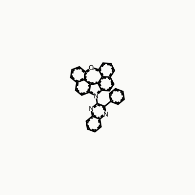 c1ccc(-c2nc3ccccc3nc2-n2c3ccc4cccc5oc6cccc7ccc2c(c76)c3c45)cc1